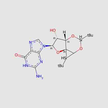 CC(C)(C)[SiH]1OC2[SiH](C(C)(C)C)[C@@]23O[C@@H](n2cnc4c(=O)[nH]c(N)nc42)[C@H](O)[C@@H]3O1